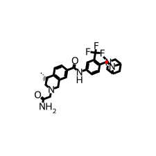 C[C@H]1CN(CC(N)=O)Cc2cc(C(=O)Nc3ccc(CN4C5CC4CN(C)C5)c(C(F)(F)F)c3)ccc21